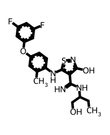 CCC(CO)NC(=N)c1c(O)nsc1Nc1ccc(Oc2cc(F)cc(F)c2)cc1C